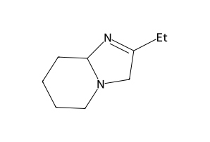 CCC1=NC2CCCCN2C1